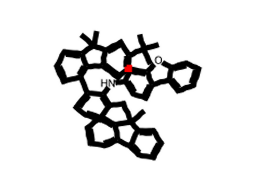 CC(C)(C)c1ccc2c(c1)C(C)(C)c1cccc(-c3cccc(CC4(C)c5ccccc5-c5ccccc54)c3Nc3ccc4c(c3)oc3ccccc34)c1-2